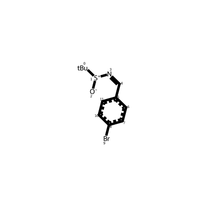 CC(C)(C)[S+]([O-])/N=C\c1ccc(Br)cc1